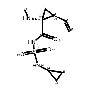 C=C[C@@H]1C[C@]1(NC)C(=O)NS(=O)(=O)NC1CC1